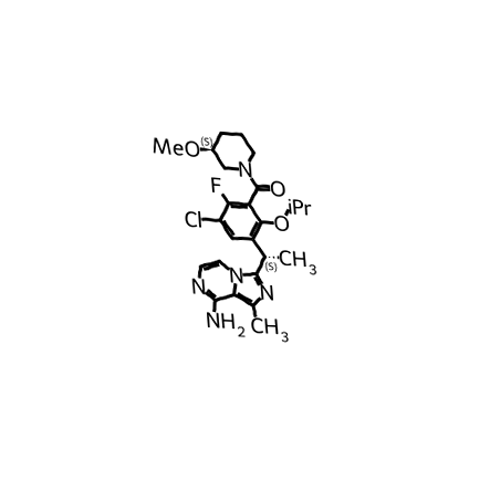 CO[C@H]1CCCN(C(=O)c2c(F)c(Cl)cc([C@H](C)c3nc(C)c4c(N)nccn34)c2OC(C)C)C1